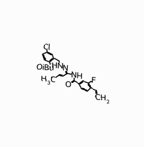 C=Cc1ccc(C(=O)NC(/C=C/C)=N/NCc2cc(Cl)ccc2OCC(C)C)cc1F